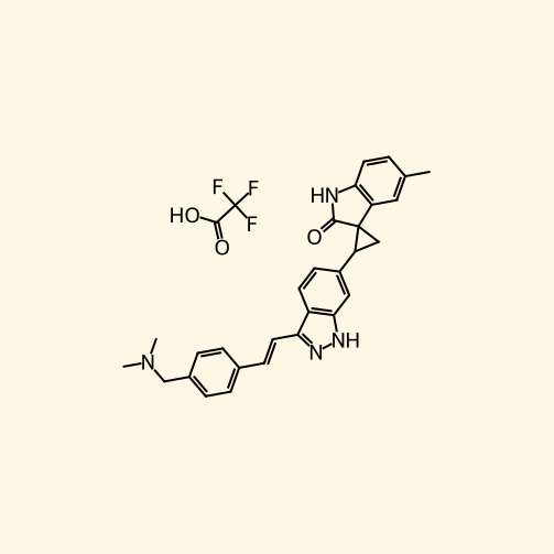 Cc1ccc2c(c1)C1(CC1c1ccc3c(/C=C/c4ccc(CN(C)C)cc4)n[nH]c3c1)C(=O)N2.O=C(O)C(F)(F)F